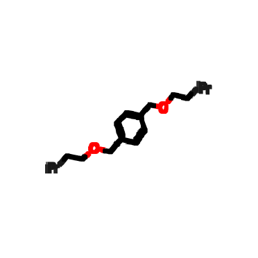 CC(C)CCOCc1ccc(COCCC(C)C)cc1